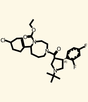 CCOC(=O)N1CCN(C(=O)C2CN(C(C)(C)C)C[C@H]2c2ccc(F)cc2F)CCCC1C1=CCC(Cl)CC1